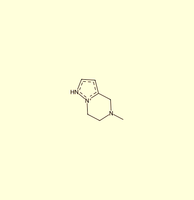 CN1CC[n+]2[nH]ccc2C1